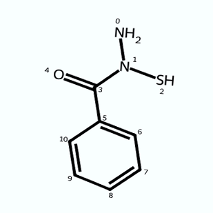 NN(S)C(=O)c1ccccc1